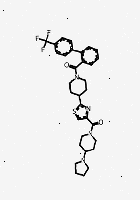 O=C(c1csc(C2CCN(C(=O)c3ccccc3-c3ccc(C(F)(F)F)cc3)CC2)n1)N1CCC(N2CCCC2)CC1